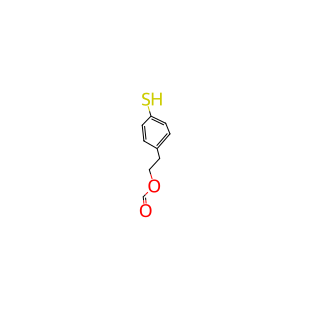 O=COCCc1ccc(S)cc1